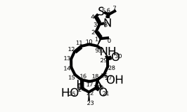 C/C(=C\c1csc(C)n1)[C@@H]1C/C=C\CCC[C@@H]2C[C@@](C)(C(=O)[C@@H](C)[C@@H]2O)[C@@H](O)CC(=O)N1